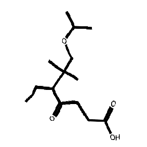 CCC(C(=O)CCC(=O)O)C(C)(C)COC(C)C